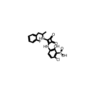 CC(Cc1ccccc1F)Nc1c(Nc2ccc(Cl)c(S(=O)O)c2O)c(=O)c1=O